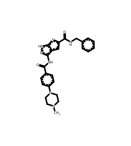 CN1CCN(c2ccc(C(=O)Nc3n[nH]c4sc(C(=O)NCc5ccccc5)cc34)cc2)CC1